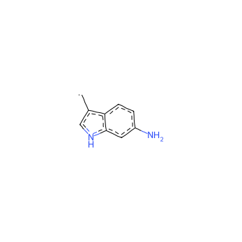 [CH2]c1c[nH]c2cc(N)ccc12